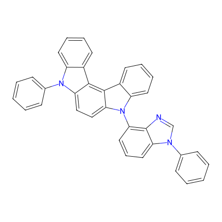 c1ccc(-n2cnc3c(-n4c5ccccc5c5c6c7ccccc7n(-c7ccccc7)c6ccc54)cccc32)cc1